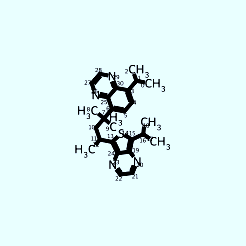 CC(C)c1ccc(C(C)(C)CC(C)c2sc(C(C)C)c3nccnc23)c2nccnc12